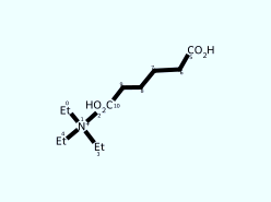 CC[N+](C)(CC)CC.O=C(O)CCCCC(=O)O